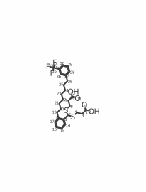 O=C(O)CCSC(SCCC(=O)O)c1ccccc1CCCCCCCCc1cccc(C(F)(F)F)c1